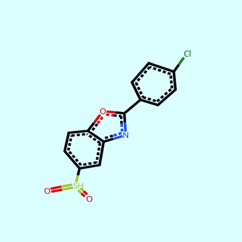 O=[SH](=O)c1ccc2oc(-c3ccc(Cl)cc3)nc2c1